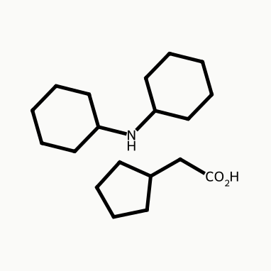 C1CCC(NC2CCCCC2)CC1.O=C(O)CC1CCCC1